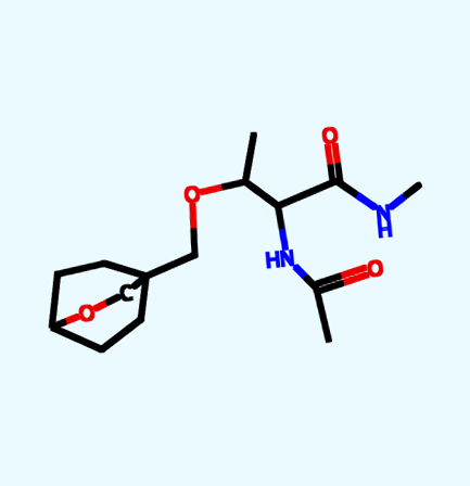 CNC(=O)C(NC(C)=O)C(C)OCC12CCC(CC1)OC2